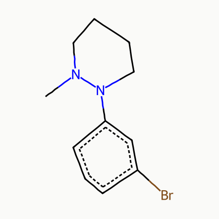 CN1CCCCN1c1cccc(Br)c1